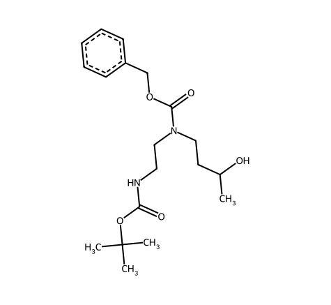 CC(O)CCN(CCNC(=O)OC(C)(C)C)C(=O)OCc1ccccc1